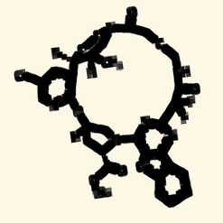 C[C@H]1CN2CC[C@]1(F)c1cc(Cl)cnc1O[C@H]1C[C@@H](C(=O)OC(C)(C)C)N(C1)c1nc(nc3c1oc1ccccc13)C(F)(F)C(=O)NCCCC2=O